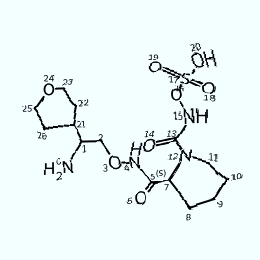 NC(CONC(=O)[C@@H]1CCCCN1C(=O)NOS(=O)(=O)O)C1CCOCC1